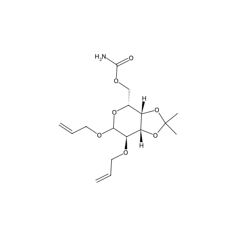 C=CCOC1O[C@H](COC(N)=O)[C@@H]2OC(C)(C)O[C@@H]2[C@H]1OCC=C